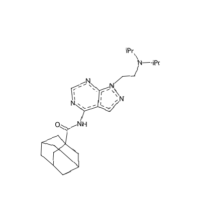 CC(C)N(CCn1ncc2c(NC(=O)C34CC5CC(CC(C5)C3)C4)ncnc21)C(C)C